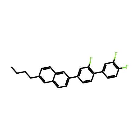 CCCCc1ccc2cc(-c3ccc(-c4ccc(F)c(F)c4)c(F)c3)ccc2c1